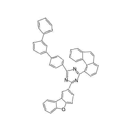 c1ccc(-c2cccc(-c3ccc(-c4nc(-c5ccc6oc7ccccc7c6c5)nc(-c5cccc6ccc7ccccc7c56)n4)cc3)c2)cc1